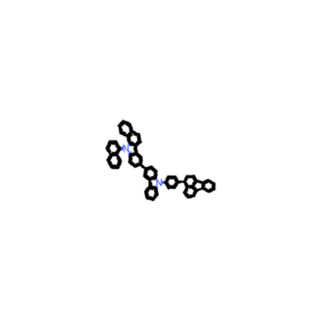 c1ccc2c(c1)-c1cccc3c(-c4ccc(-n5c6ccccc6c6cc(-c7ccc8c(c7)c7ccc9ccccc9c7n8-c7cccc8ccccc78)ccc65)cc4)ccc-2c13